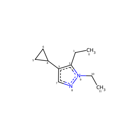 CCc1c(C2CC2)cnn1CC